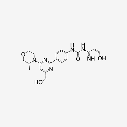 C[C@H]1COCCN1c1cc(CO)nc(-c2ccc(NC(=O)NC(=N)/C=C\O)cc2)n1